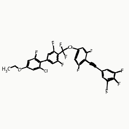 CCOc1cc(F)c(-c2cc(F)c(C(F)(F)Oc3cc(F)c(C#Cc4cc(F)c(F)c(F)c4)c(F)c3)c(F)c2)c(Cl)c1